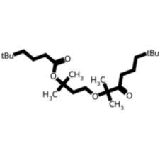 CC(C)(C)CCCC(=O)OC(C)(C)CCOC(C)(C)C(=O)CCCC(C)(C)C